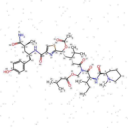 CCC(C)[C@H](NC(=O)[C@H]1CCCCN1C)C(=O)N(COC(=O)CC(C)C)C(=O)C[C@H](C[C@@H](OC(C)=O)c1nc(C(=O)N[C@@H](Cc2ccc(O)cc2)C[C@H](C)C(N)=O)cs1)C(C)C